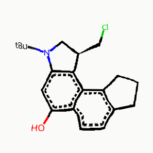 CC(C)(C)N1C[C@@H](CCl)c2c1cc(O)c1ccc3c(c21)CCC3